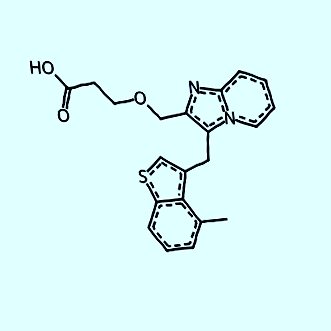 Cc1cccc2scc(Cc3c(COCCC(=O)O)nc4ccccn34)c12